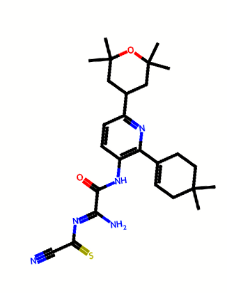 CC1(C)CC=C(c2nc(C3CC(C)(C)OC(C)(C)C3)ccc2NC(=O)/C(N)=N/C(=S)C#N)CC1